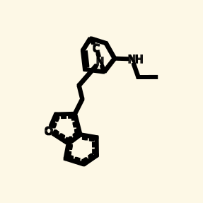 CCNC1CC2C=CC1N(CCc1coc3ccccc13)C2